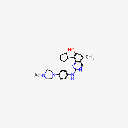 CC(=O)N1CCN(c2ccc(Nc3ncc4c(C)cc(O)c(C5CCCC5)c4n3)cc2)CC1